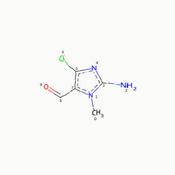 Cn1c(N)nc(Cl)c1C=O